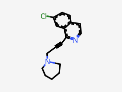 Clc1ccc2ccnc(C#CCN3CCCCC3)c2c1